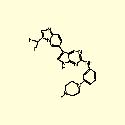 CN1CCN(c2cccc(Nc3ncc4c(-c5ccc6ncc(C(F)F)n6c5)c[nH]c4n3)c2)CC1